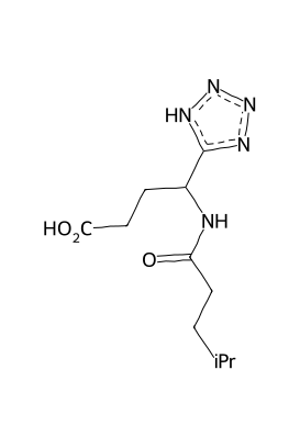 CC(C)CCC(=O)NC(CCC(=O)O)c1nnn[nH]1